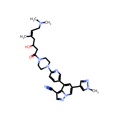 C/C(=C/CN(C)C)CC(O)CC(=O)N1CCN(c2ccc(-c3cc(-c4cnn(C)c4)cn4ncc(C#N)c34)cn2)CC1